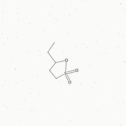 CCC1CCS(=O)(=O)O1